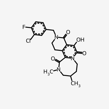 CC1CCn2c(c3c(c(O)c2=O)C(=O)N(Cc2ccc(F)c(Cl)c2)CC3)C(=O)N(C)C1